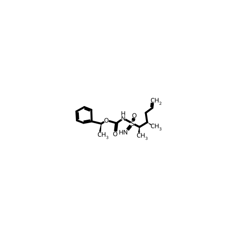 C=CC[C@H](C)[C@@H](C)S(=N)(=O)NC(=O)O[C@@H](C)c1ccccc1